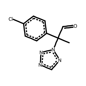 CC(C=O)(c1ccc(Cl)cc1)n1ncnn1